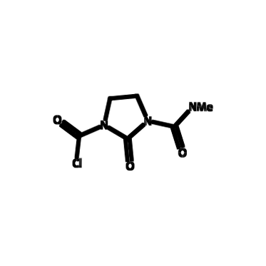 CNC(=O)N1CCN(C(=O)Cl)C1=O